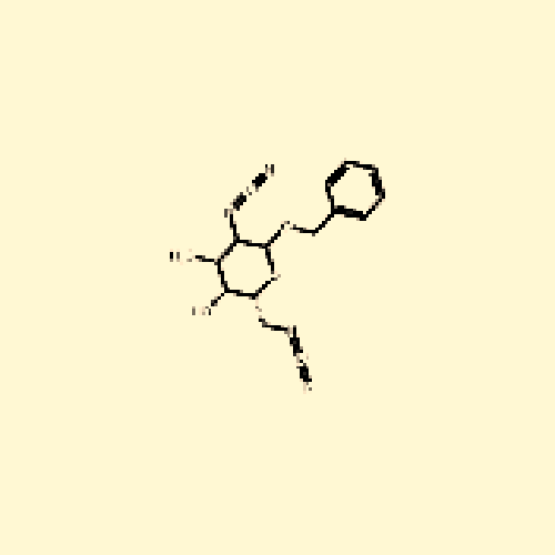 C[C@H]1C(N=[N+]=[N-])C(OCc2ccccc2)O[C@H](CN=[N+]=[N-])[C@H]1O